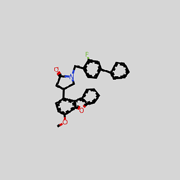 COc1ccc(C2CC(=O)N(Cc3ccc(-c4ccccc4)cc3F)C2)c2c1oc1ccccc12